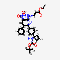 CCOC(=O)CCNc1nc(-c2ccc(C3(NC(=O)OC(C)(C)C)CCC3)cc2)c(-c2ccccc2)cc1[N+](=O)[O-]